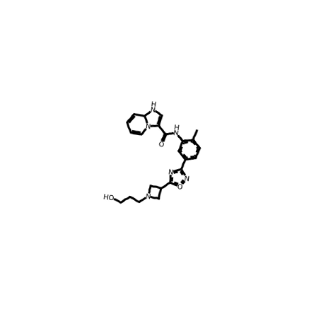 Cc1ccc(-c2noc(C3CN(CCCO)C3)n2)cc1NC(=O)C1=CNC2C=CC=CN12